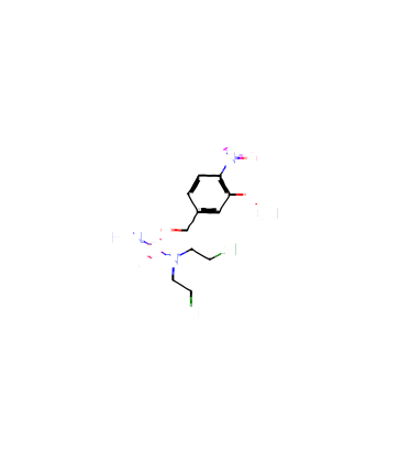 COc1cc(COP(N)(=O)N(CCCl)CCCl)ccc1[N+](=O)[O-]